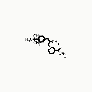 CC(Cc1ccc(C(C)(C)C)cc1)CN1CCCC(C(=O)OC=O)C1